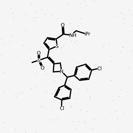 CC(C)CNC(=O)c1ccc(C(=C2CN(C(c3ccc(Cl)cc3)c3ccc(Cl)cc3)C2)S(C)(=O)=O)s1